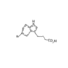 O=C(O)CCCc1c[nH]c2ccc(Br)cc12